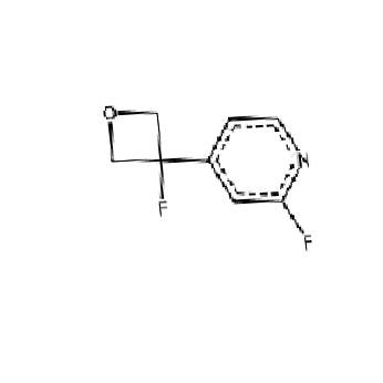 Fc1cc(C2(F)COC2)ccn1